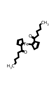 CCCCCC(=O)C1=[C]([Fe][C]2=C(C(=O)CCCCC)C=CC2)CC=C1